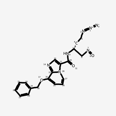 [N-]=[N+]=NCC[C@H](CN=O)NC(=O)c1cnc2c(OCc3ccccc3)cccn12